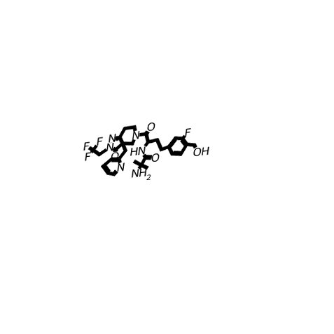 CC(C)(N)C(=O)NC(CCc1ccc(CO)c(F)c1)C(=O)N1CCC2=NN(CC(F)(F)F)C(=O)C2(Cc2ccccn2)C1